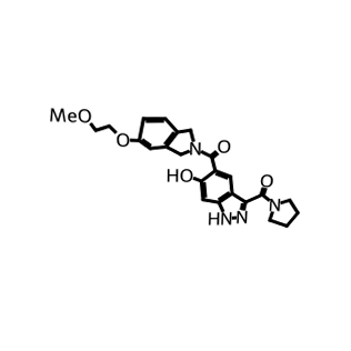 COCCOc1ccc2c(c1)CN(C(=O)c1cc3c(C(=O)N4CCCC4)n[nH]c3cc1O)C2